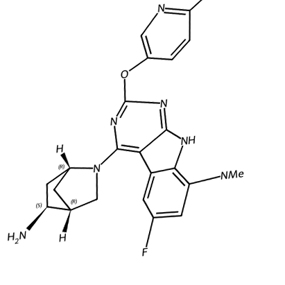 CNc1cc(F)cc2c1[nH]c1nc(Oc3ccc(C#N)nc3)nc(N3C[C@H]4C[C@@H]3C[C@@H]4N)c12